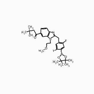 COCCn1c(Cc2cc(F)c(B3OC(C)(C)C(C)(C)O3)cc2F)nc2ccc(C(=O)CC(C)(C)C)cc21